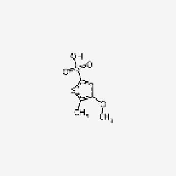 COc1cc(S(=O)(=O)O)sc1C